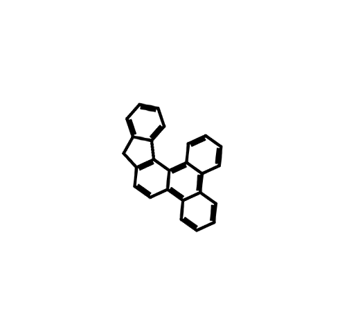 c1ccc2c(c1)Cc1ccc3c4ccccc4c4ccccc4c3c1-2